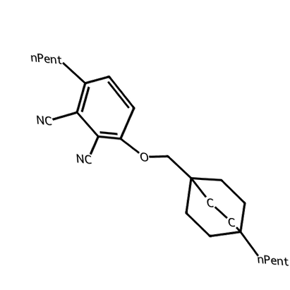 CCCCCc1ccc(OCC23CCC(CCCCC)(CC2)CC3)c(C#N)c1C#N